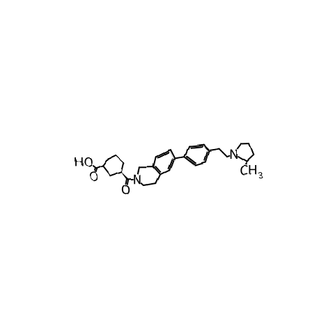 C[C@@H]1CCCN1CCc1ccc(-c2ccc3c(c2)CCN(C(=O)[C@@H]2CCCC(C(=O)O)C2)C3)cc1